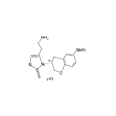 CC(=O)Nc1ccc2c(c1)C[C@@H](N1C(=S)[N]C=C1CCN)CO2.Cl